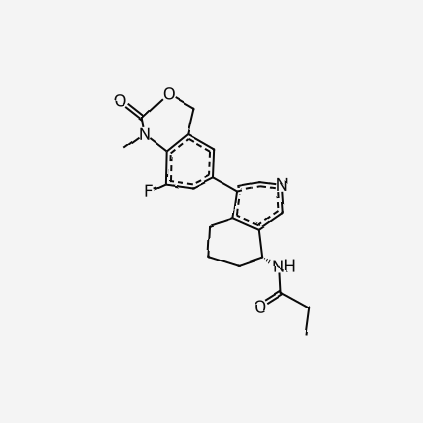 CCC(=O)N[C@@H]1CCCc2c(-c3cc(F)c4c(c3)COC(=O)N4C)cncc21